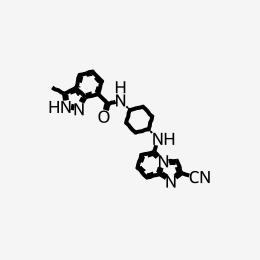 Cc1[nH]nc2c(C(=O)N[C@H]3CC[C@@H](Nc4cccc5nc(C#N)cn45)CC3)cccc12